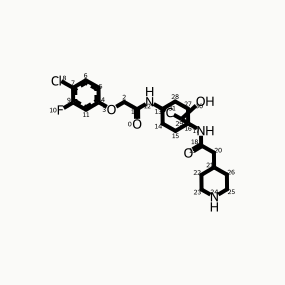 O=C(COc1ccc(Cl)c(F)c1)NC12CCC(NC(=O)CC3CCNCC3)(CC1)C(O)C2